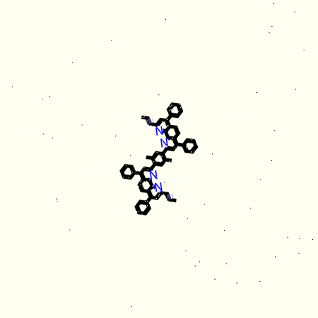 C/C=C/c1cc(-c2ccccc2)c2ccc3c(-c4ccccc4)cc(-c4cc(C)c(-c5cc(-c6ccccc6)c6ccc7c(-c8ccccc8)cc(/C=C/C)nc7c6n5)cc4C)nc3c2n1